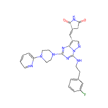 O=C1C/C(=C\c2cnn3c(NCCc4cccc(F)c4)nc(N4CCN(c5ccccn5)CC4)nc23)C(=O)N1